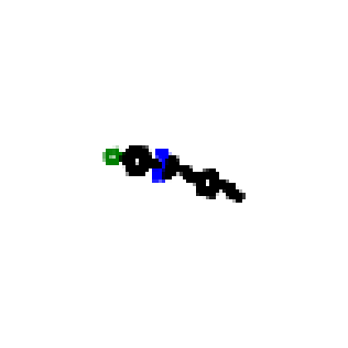 CC=CC1CCC(CCc2cnc(-c3ccc(Cl)cc3)nc2)CC1